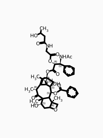 CC(=O)N[C@@H](c1ccccc1)[C@@H](OC(=O)CNC(=O)CC(C)O)C(=O)O[C@H]1C[C@@]2(O)[C@@H](OC(=O)c3ccccc3)C3C(C)(C(=O)[C@H](C)C(=C1C)C2(C)C)[C@@H](O)CC1OC[C@]13C